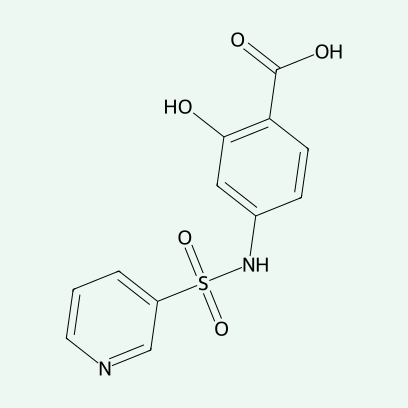 O=C(O)c1ccc(NS(=O)(=O)c2cccnc2)cc1O